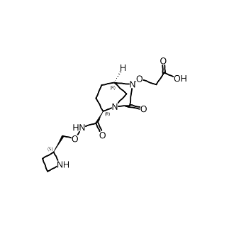 O=C(O)CON1C(=O)N2C[C@H]1CC[C@@H]2C(=O)NOC[C@@H]1CCN1